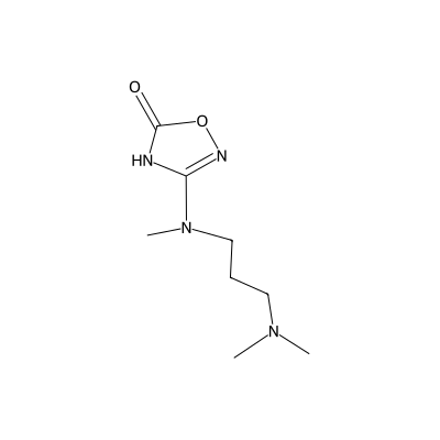 CN(C)CCCN(C)c1noc(=O)[nH]1